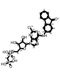 O=C1c2ccccc2-c2cc(Nc3nc(Cl)nc4c3ncn4C3OC(CNP(=O)(O)CP(=O)(O)O)C(O)C3O)ccc21